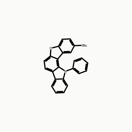 CC(C)(C)c1ccc2oc3ccc4c5ccccc5n(-c5ccccc5)c4c3c2c1